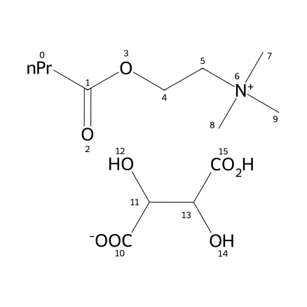 CCCC(=O)OCC[N+](C)(C)C.O=C([O-])C(O)C(O)C(=O)O